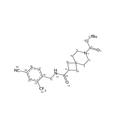 CC(C)(C)OC(=O)N1CCC2(CC1)CC(C(=O)NCc1ccc(C#N)cc1C(F)(F)F)C2